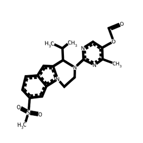 Cc1nc(N2CCn3c(cc4ccc(S(C)(=O)=O)cc43)C2C(C)C)ncc1OC=O